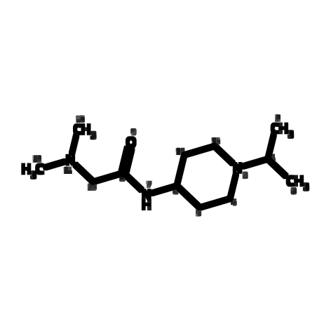 CC(C)N1CCC(NC(=O)CN(C)C)CC1